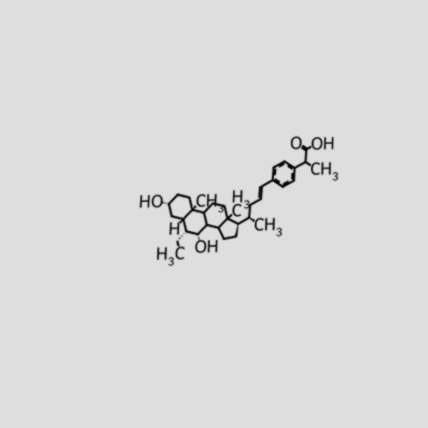 CC[C@H]1[C@@H](O)C2C3CC[C@H]([C@H](C)C/C=C/c4ccc(C(C)C(=O)O)cc4)C3(C)CCC2[C@@]2(C)CC[C@@H](O)C[C@@H]12